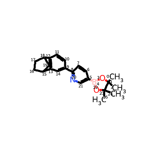 CC1(C)OB(c2ccc(-c3ccc4c(c3)C3CCC4C3)nc2)OC1(C)C